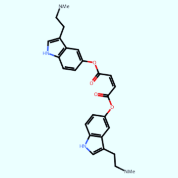 CNCCc1c[nH]c2ccc(OC(=O)/C=C\C(=O)Oc3ccc4[nH]cc(CCNC)c4c3)cc12